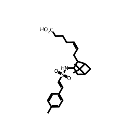 Cc1ccc(C=CS(=O)(=O)NC2CC3CC(C2C/C=C\CCCC(=O)O)C3(C)C)cc1